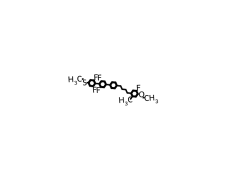 CCOc1cc(C)c(CCCCc2ccc(-c3cc(F)c(-c4c(F)cc(SCC)cc4F)c(F)c3)cc2)cc1F